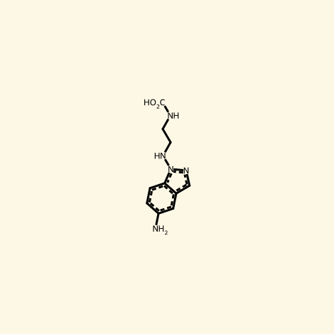 Nc1ccc2c(cnn2NCCNC(=O)O)c1